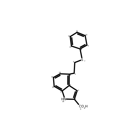 O=C(O)c1cc2c(CCSc3ccccc3)cccc2[nH]1